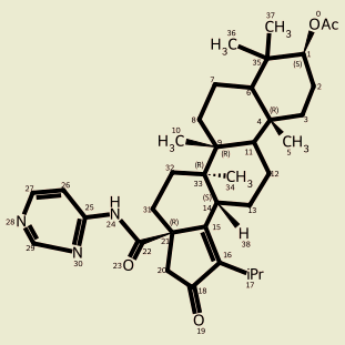 CC(=O)O[C@H]1CC[C@@]2(C)C(CC[C@]3(C)C2CC[C@@H]2C4=C(C(C)C)C(=O)C[C@]4(C(=O)Nc4ccncn4)CC[C@]23C)C1(C)C